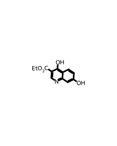 CCOC(=O)c1cnc2cc(O)ccc2c1O